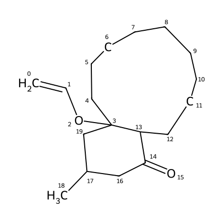 C=COC12CCCCCCCCCC1C(=O)CC(C)C2